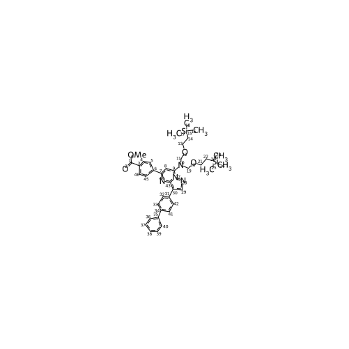 COC(=O)c1ccc(-c2cc(N(COCC[Si](C)(C)C)COCC[Si](C)(C)C)n3ncc(-c4ccc(-c5ccccc5)cc4)c3n2)cc1